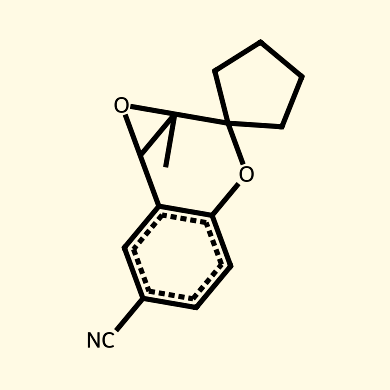 CC12OC1c1cc(C#N)ccc1OC21CCCC1